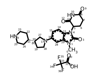 Cn1c(=O)n(C2CCC(=O)NC2=O)c2ccc(N3CC[C@H](C4CCNCC4)C3)cc21.O=C(O)C(F)(F)F